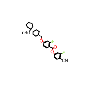 CCCCC1([C@H]2CC[C@H](COc3ccc(C(=O)Oc4ccc(C#N)c(F)c4)c(F)c3)CC2)CCCCC1